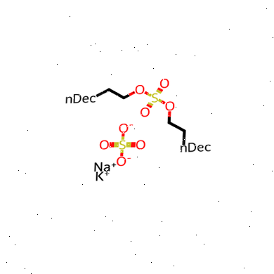 CCCCCCCCCCCCOS(=O)(=O)OCCCCCCCCCCCC.O=S(=O)([O-])[O-].[K+].[Na+]